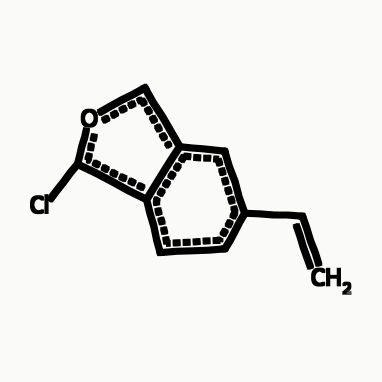 C=Cc1ccc2c(Cl)occ2c1